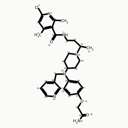 Cc1cc(Cl)nc(C)c1C(=O)NCCC(C)N1CCC(N(Cc2cccnc2)c2ccc(OCC(N)=O)cc2)CC1